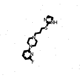 Fc1cccc(N2CCN(CCCSc3ncc[nH]3)CC2)n1